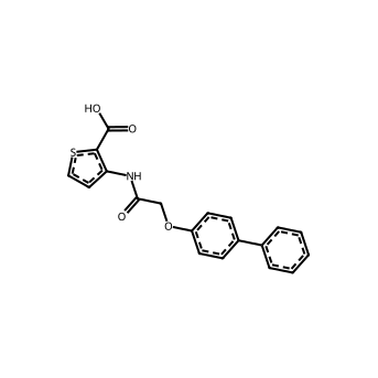 O=C(COc1ccc(-c2ccccc2)cc1)Nc1ccsc1C(=O)O